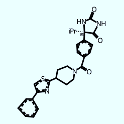 CC(C)[C@]1(c2ccc(C(=O)N3CCC(c4nc(-c5ccccc5)cs4)CC3)cc2)NC(=O)NC1=O